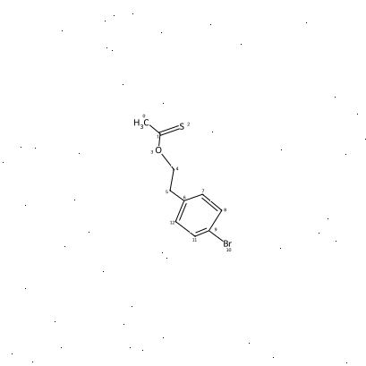 CC(=S)OCCc1ccc(Br)cc1